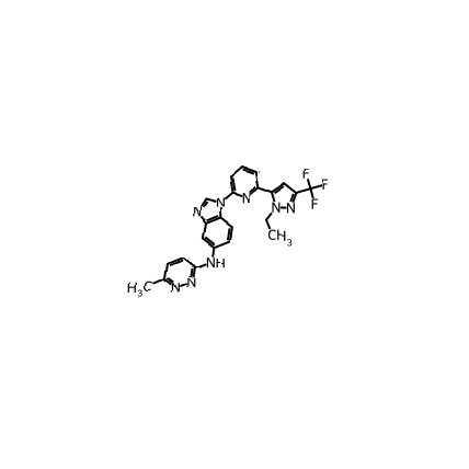 CCn1nc(C(F)(F)F)cc1-c1[c]ccc(-n2cnc3cc(Nc4ccc(C)nn4)ccc32)n1